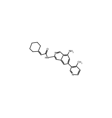 Cc1ccncc1-c1cc(N)c2cnc(NC(=O)C=C3CCCCC3)cc2c1